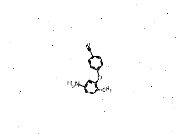 Cc1ccc(N)cc1Oc1ccc(C#N)cc1